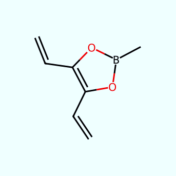 C=CC1=C(C=C)OB(C)O1